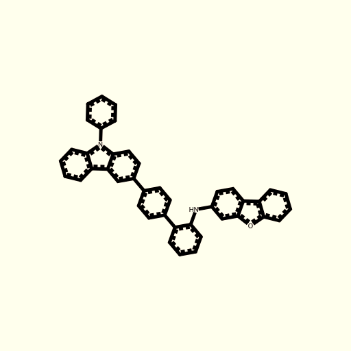 c1ccc(-n2c3ccccc3c3cc(-c4ccc(-c5ccccc5Nc5ccc6c(c5)oc5ccccc56)cc4)ccc32)cc1